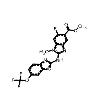 COC(=O)c1cc2nc(Nc3nc4ccc(OC(F)(F)F)cc4o3)n(C)c2cc1F